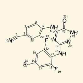 N#Cc1ccc(Nc2nc(Nc3c(F)cc(Br)cc3F)n[nH]c2=O)cc1